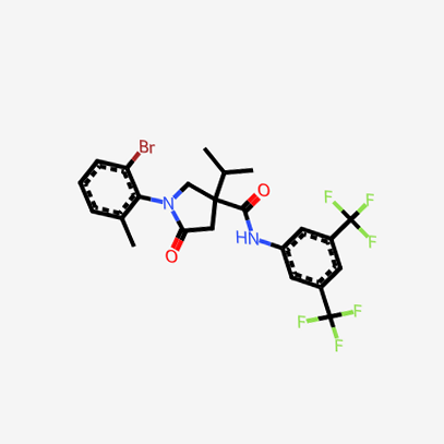 Cc1cccc(Br)c1N1CC(C(=O)Nc2cc(C(F)(F)F)cc(C(F)(F)F)c2)(C(C)C)CC1=O